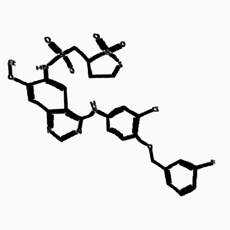 CCOc1cc2ncnc(Nc3ccc(OCc4cccc(F)c4)c(Cl)c3)c2cc1NS(=O)(=O)CC1CCSS1(=O)=O